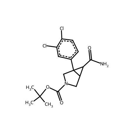 CC(C)(C)OC(=O)N1CC2C(C(N)=O)C2(c2ccc(Cl)c(Cl)c2)C1